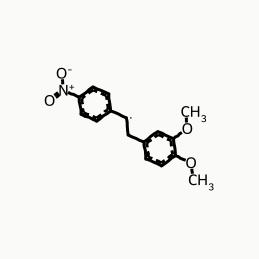 COc1ccc(C[CH]c2ccc([N+](=O)[O-])cc2)cc1OC